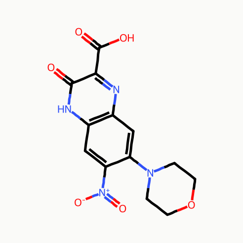 O=C(O)c1nc2cc(N3CCOCC3)c([N+](=O)[O-])cc2[nH]c1=O